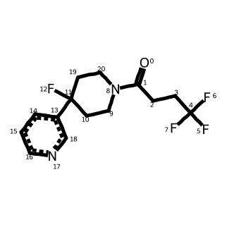 O=C(CCC(F)(F)F)N1CCC(F)(c2cccnc2)CC1